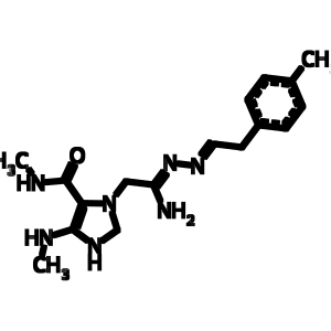 CNC(=O)C1=C(NC)NCN1C/C(N)=N/N=C/Cc1ccc(C)cc1